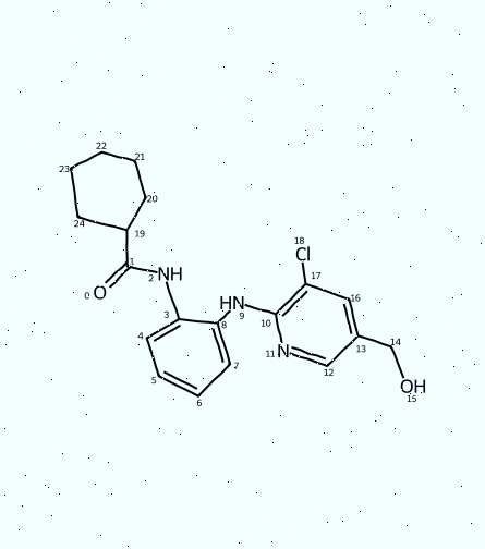 O=C(Nc1ccccc1Nc1ncc(CO)cc1Cl)C1CCCCC1